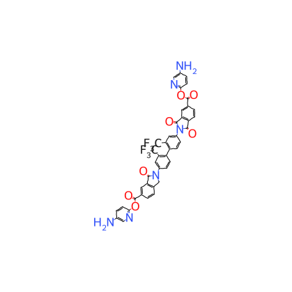 Nc1ccc(OC(=O)c2ccc3c(c2)C(=O)N(c2ccc(-c4ccc(N5C(=O)c6ccc(C(=O)Oc7ccc(N)cn7)cc6C5=O)cc4C(F)(F)F)c(C(F)(F)F)c2)C3)nc1